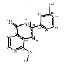 COc1nccc2c(=O)[nH]c(-c3cccc(I)c3)nc12